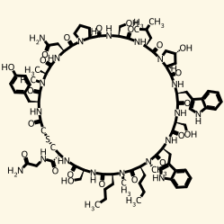 CCCC[C@H]1C(=O)N(C)[C@@H](CCCC)C(=O)N[C@@H](CO)C(=O)N[C@H](C(=O)NCC(N)=O)CSCC(=O)N[C@@H](Cc2ccc(O)cc2)C(=O)N(C)[C@@H](C)C(=O)N[C@@H](CC(N)=O)C(=O)N2CCC[C@H]2C(=O)N[C@@H](CO)C(=O)N[C@@H](CC(C)C)C(=O)N2C[C@H](O)C[C@H]2C(=O)N[C@@H](Cc2c[nH]c3ccccc23)C(=O)N[C@@H](CO)C(=O)N[C@@H](Cc2c[nH]c3ccccc23)C(=O)N1C